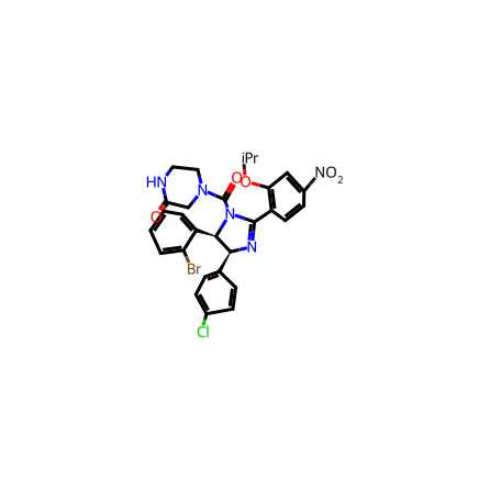 CC(C)Oc1cc([N+](=O)[O-])ccc1C1=N[C@@H](c2ccc(Cl)cc2)[C@@H](c2ccccc2Br)N1C(=O)N1CCNC(=O)C1